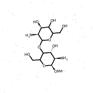 CO[C@H]1OC(CO)C(OC2OC(CO)C(O)[C@H](O)[C@@H]2N)[C@H](O)[C@H]1N